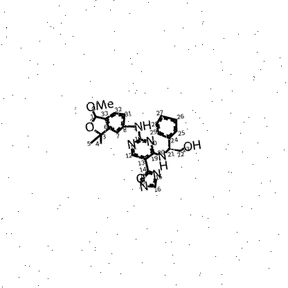 COC1OC(C)(C)c2cc(Nc3ncc(-c4ncno4)c(N[C@H](CO)c4ccccc4)n3)ccc21